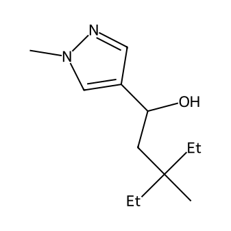 CCC(C)(CC)CC(O)c1cnn(C)c1